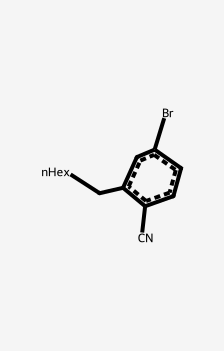 CCCCCCCc1cc(Br)ccc1C#N